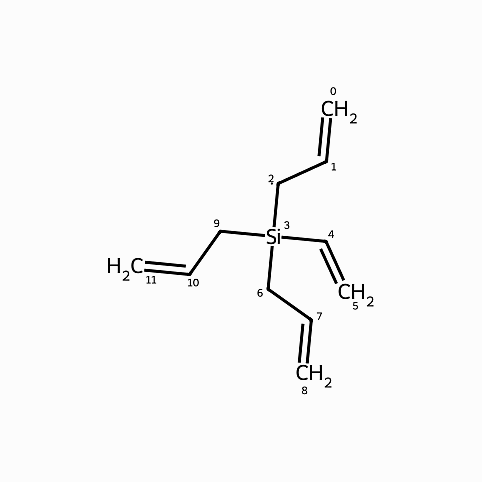 C=C[CH][Si](C=C)(CC=C)CC=C